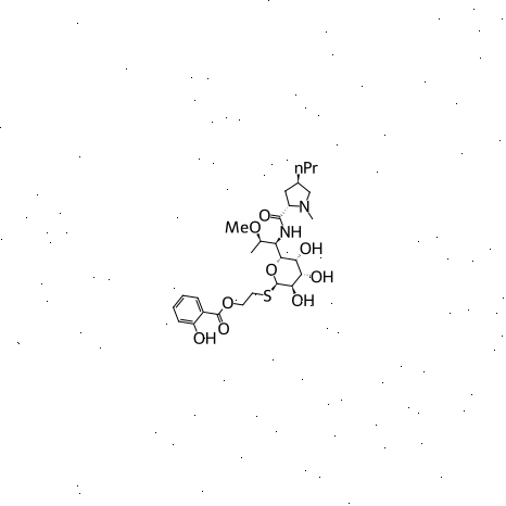 CCC[C@@H]1C[C@@H](C(=O)N[C@@H]([C@H]2O[C@H](SCCOC(=O)c3ccccc3O)[C@H](O)[C@@H](O)[C@H]2O)[C@@H](C)OC)N(C)C1